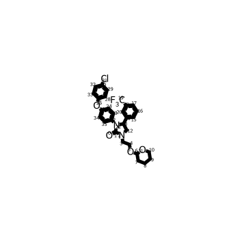 O=C1N(CCOC2CCCCO2)CC(c2cccc(C(F)(F)F)c2)N1c1ccc(Oc2ccc(Cl)cc2)cc1